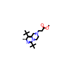 COC(=O)CCN1CCN2C(C(C)(C)C)=N[C@@H](C)C(C(C)(C)C)=C2C1